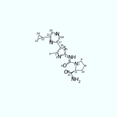 Cc1nc(NC(=O)N2CCC[C@H]2C(N)=O)sc1-c1cncc(C2CC2)n1